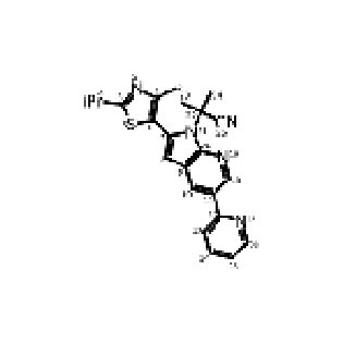 Cc1nc(C(C)C)sc1-c1cc2cc(-c3ccccn3)cnc2n1C(C)(C)C#N